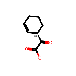 O=C(O)C(=O)[C@H]1C=CCCC1